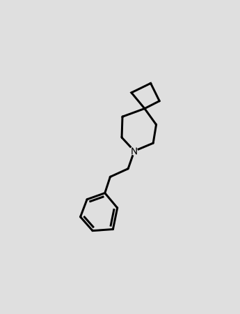 c1ccc(CCN2CCC3(CCC3)CC2)cc1